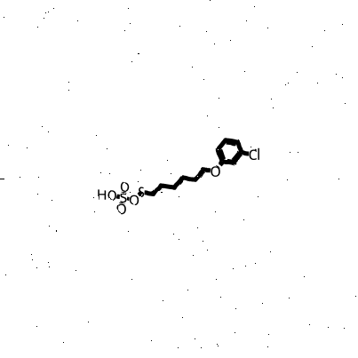 O=S(=O)(O)OSCCCCCCOc1cccc(Cl)c1